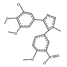 COc1ccc(-c2c(-c3cc(Cl)c(OC)c(OC)c3)ncn2C)cc1[N+](=O)[O-]